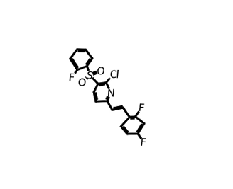 O=S(=O)(c1ccccc1F)c1ccc(/C=C/c2ccc(F)cc2F)nc1Cl